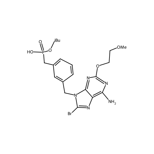 CCC(C)OP(=O)(O)Cc1cccc(Cn2c(Br)nc3c(N)nc(OCCOC)nc32)c1